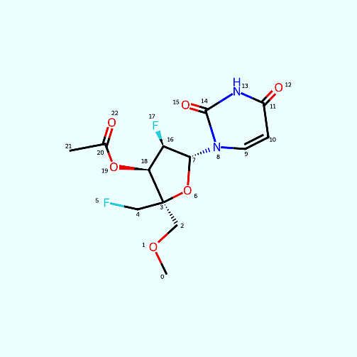 COC[C@@]1(CF)O[C@@H](n2ccc(=O)[nH]c2=O)[C@H](F)[C@@H]1OC(C)=O